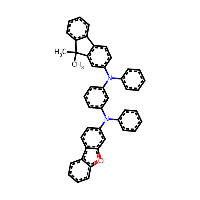 CC1(C)c2ccccc2-c2ccc(N(c3ccccc3)c3cccc(N(c4ccccc4)c4ccc5c(c4)oc4ccccc45)c3)cc21